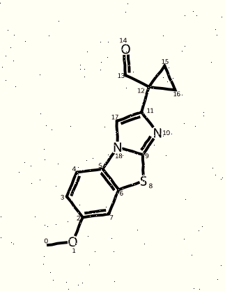 COc1ccc2c(c1)sc1nc(C3(C=O)CC3)cn12